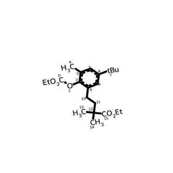 CCOC(=O)Oc1c(C)cc(C(C)(C)C)cc1CCC(C)(C)C(=O)OCC